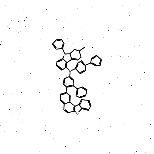 CC1CC=C2c3c(N(c4ccc(-c5ccccc5)cc4)c4ccc(-c5ccc6ccc7oc8ccccc8c7c6c5)c(-c5ccccc5)c4)cccc3N(c3ccccc3)C2C1